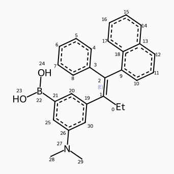 CC/C(=C(/c1ccccc1)c1cccc2ccccc12)c1cc(B(O)O)cc(N(C)C)c1